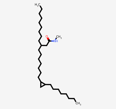 CCCCCCCCCC(CCCCCCCC1CC1CCCCCCCC)CC(=O)NC